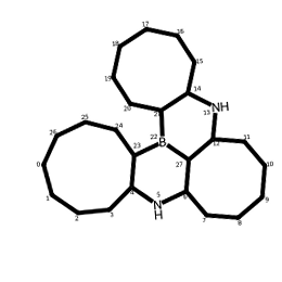 C1CCCC2NC3CCCCCC4NC5CCCCCCC5B(C2CCC1)C34